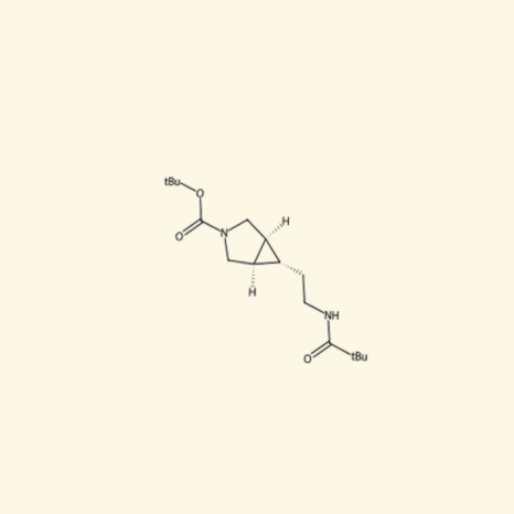 CC(C)(C)OC(=O)N1C[C@@H]2[C@@H](CCNC(=O)C(C)(C)C)[C@@H]2C1